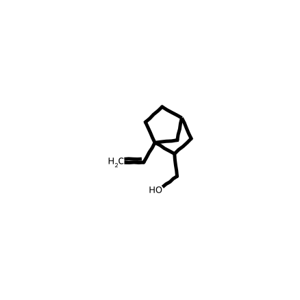 C=CC12CCC(CC1CO)C2